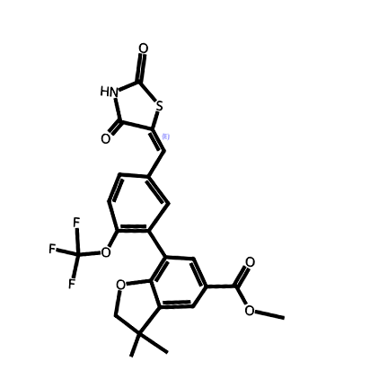 COC(=O)c1cc(-c2cc(/C=C3/SC(=O)NC3=O)ccc2OC(F)(F)F)c2c(c1)C(C)(C)CO2